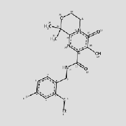 CCSc1cc(F)ccc1CNC(=O)c1nc2n(c(=O)c1O)CCOC2(C)C